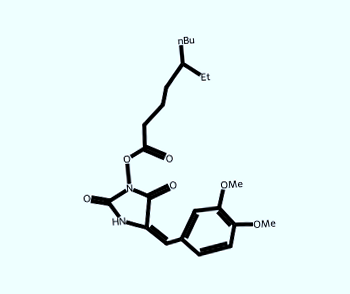 CCCCC(CC)CCCC(=O)ON1C(=O)NC(=Cc2ccc(OC)c(OC)c2)C1=O